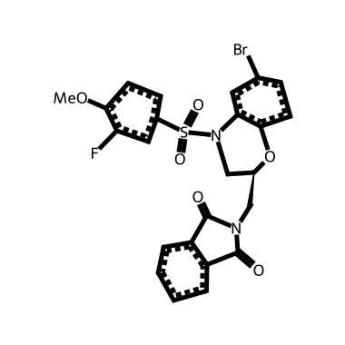 COc1ccc(S(=O)(=O)N2C[C@H](CN3C(=O)c4ccccc4C3=O)Oc3ccc(Br)cc32)cc1F